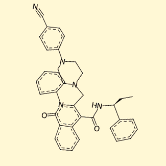 CC[C@H](NC(=O)c1c(CN2CCN(c3ccc(C#N)cc3)CC2)n(-c2ccccc2)c(=O)c2ccccc12)c1ccccc1